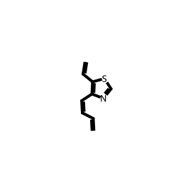 C=C/C=C\c1ncsc1C=C